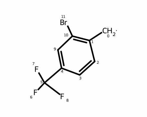 [CH2]c1ccc(C(F)(F)F)cc1Br